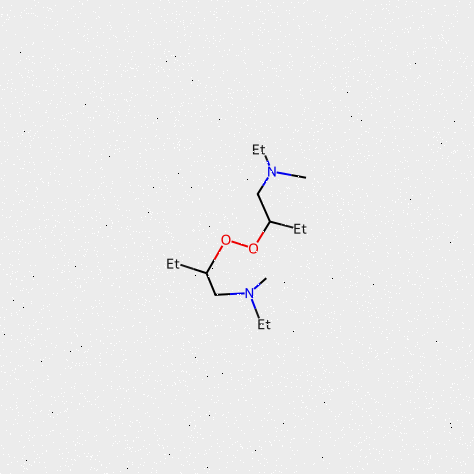 CCC(CN(C)CC)OOC(CC)CN(C)CC